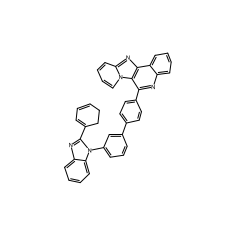 C1=CCCC(c2nc3ccccc3n2-c2cccc(-c3ccc(-c4nc5ccccc5c5nc6ccccn6c45)cc3)c2)=C1